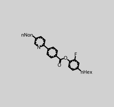 CCCCCCCCCc1ccc(-c2ccc(C(=O)Oc3ccc(CCCCCC)cc3F)cc2)nc1